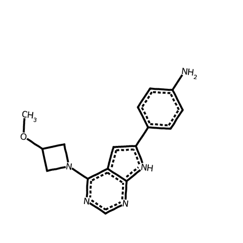 COC1CN(c2ncnc3[nH]c(-c4ccc(N)cc4)cc23)C1